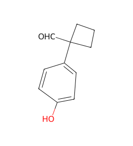 O=CC1(c2ccc(O)cc2)CCC1